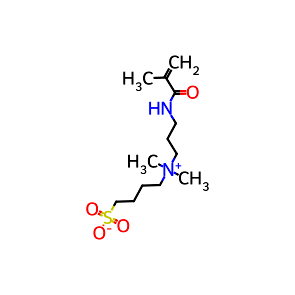 C=C(C)C(=O)NCCC[N+](C)(C)CCCCS(=O)(=O)[O-]